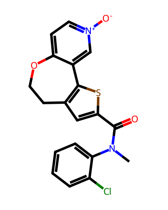 CN(C(=O)c1cc2c(s1)-c1c[n+]([O-])ccc1OCC2)c1ccccc1Cl